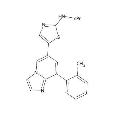 CCCNc1ncc(-c2cc(-c3ccccc3C)c3nccn3c2)s1